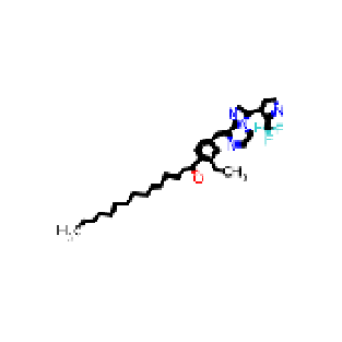 CCCCCCCCCCCCCCC(=O)c1ccc(Cc2nccn3c(C4=CCN=C4C(F)(F)F)cnc23)cc1CC